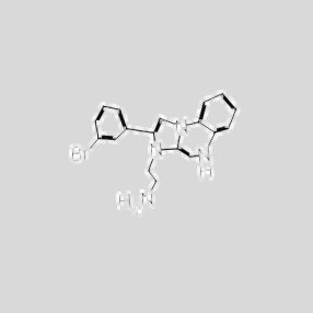 NCCN1C(c2cccc(Br)c2)=CN2C1=CNc1ccccc12